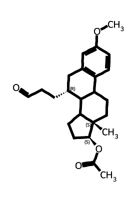 COc1ccc2c(c1)C[C@@H](CCC=O)C1C2CC[C@@]2(C)C1CC[C@@H]2OC(C)=O